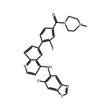 CN1CCN(C(=O)c2ccc(-c3ccc4nccc(Nc5cc6ncsc6cc5F)c4c3)c(F)c2)CC1